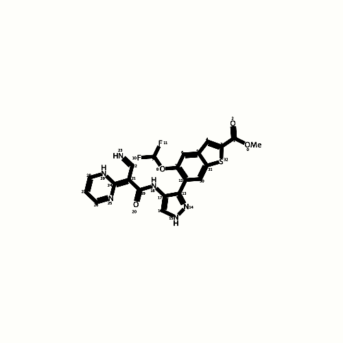 COC(=O)c1cc2cc(OC(F)F)c(-c3n[nH]cc3NC(=O)/C(C=N)=C3\N=CC=CN3)cc2s1